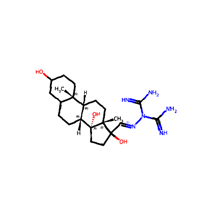 C[C@]12CCC(O)CC1CC[C@@H]1[C@H]2CC[C@]2(C)C(O)(/C=N/N(C(=N)N)C(=N)N)CC[C@@]12O